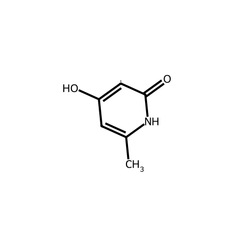 Cc1cc(O)[c]c(=O)[nH]1